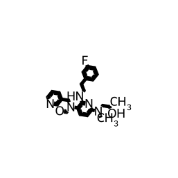 CC(O)CN(C)c1ccc(N(C=O)Cc2cccnc2)c(NCCc2cccc(F)c2)n1